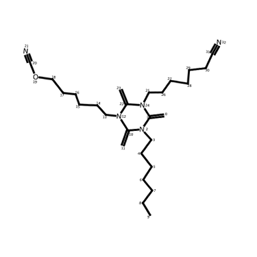 C=C1N(CCCCCCC)C(=C)N(CCCCCCOC#N)C(=C)N1CCCCCCC#N